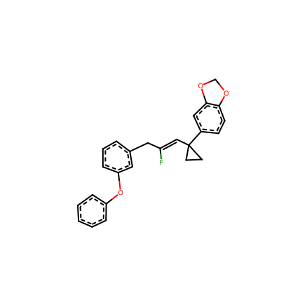 FC(=CC1(c2ccc3c(c2)OCO3)CC1)Cc1cccc(Oc2ccccc2)c1